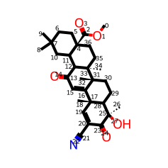 COC(=O)[C@]12CCC(C)(C)CC1C1C(=O)C=C3[C@@]4(C)C=C(C#N)C(=O)[C@](C)(O)C4CC[C@@]3(C)[C@]1(C)CC2